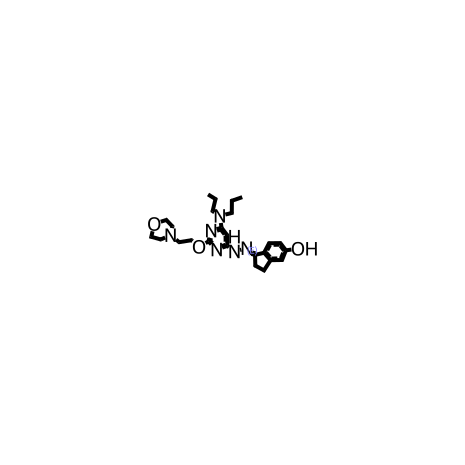 CCCN(CCC)c1cc(N/N=C2\CCc3cc(O)ccc32)nc(OCCN2CCOCC2)n1